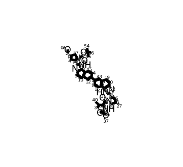 COC[C@H]1C[C@@H](c2nc3ccc4cc(-c5ccc6c(ccc7nc([C@@H]8C[C@H](C)CN8C(=O)[C@@H](NC(=O)OC)C(C)C)[nH]c76)c5)ccc4c3[nH]2)N(C(=O)OC(C)(C)C)C1